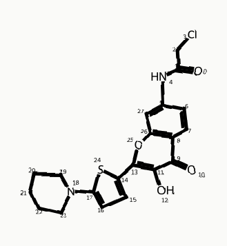 O=C(CCl)Nc1ccc2c(=O)c(O)c(-c3ccc(N4CCCCC4)s3)oc2c1